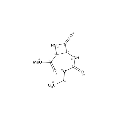 COC(=O)C1NC(=O)C1NC(=O)OCC(Cl)(Cl)Cl